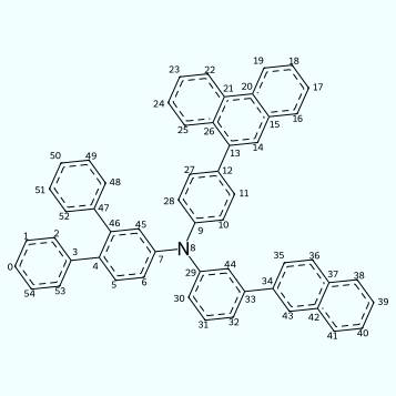 c1ccc(-c2ccc(N(c3ccc(-c4cc5ccccc5c5ccccc45)cc3)c3cccc(-c4ccc5ccccc5c4)c3)cc2-c2ccccc2)cc1